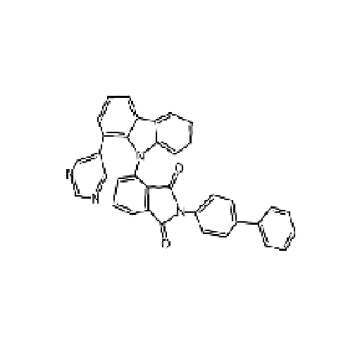 O=C1c2cccc(-n3c4ccccc4c4cccc(-c5cncnc5)c43)c2C(=O)N1c1ccc(-c2ccccc2)cc1